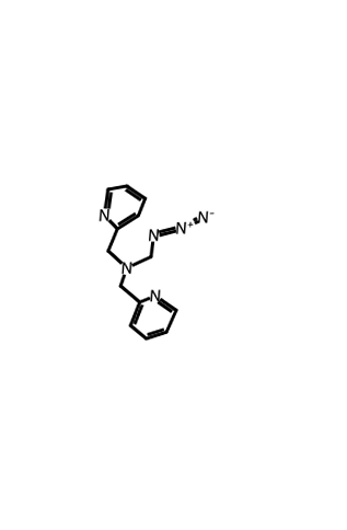 [N-]=[N+]=NCN(Cc1ccccn1)Cc1ccccn1